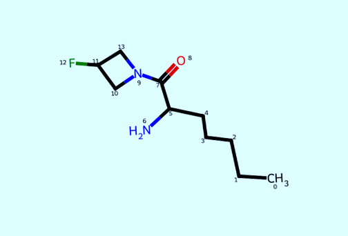 CCCCCC(N)C(=O)N1CC(F)C1